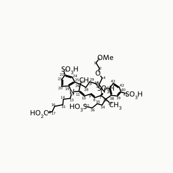 COCCOCC[N+]1=C(/C=C/C=C2/N(CCCCCC(=O)O)c3ccc(S(=O)(=O)O)cc3C2(C)CCCS(=O)(=O)O)C(C)(CCCS(=O)(=O)O)c2cc(S(=O)(=O)O)ccc21